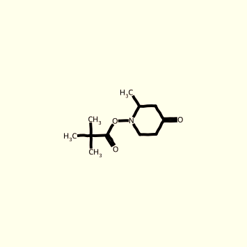 CC1CC(=O)CCN1OC(=O)C(C)(C)C